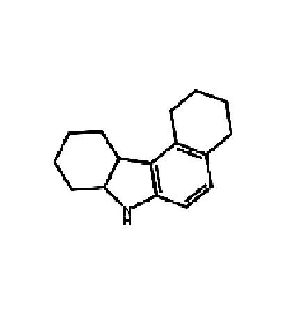 c1cc2c(c3c1CCCC3)C1CCCCC1N2